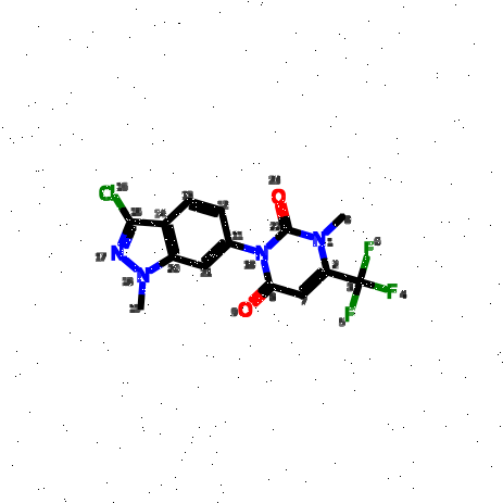 Cn1c(C(F)(F)F)cc(=O)n(-c2ccc3c(Cl)nn(C)c3c2)c1=O